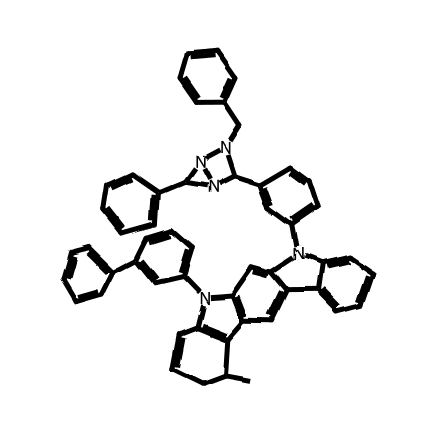 CC1CC=Cc2c1c1cc3c4ccccc4n(-c4cccc(C5N(Cc6ccccc6)N6C(c7ccccc7)N56)c4)c3cc1n2-c1cccc(-c2ccccc2)c1